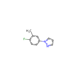 Cc1cc(-n2cccn2)ccc1F